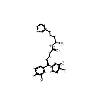 CC(CCCc1cccnc1)NC(=O)CCC=C(c1ccc(Cl)c(Cl)c1)c1ccc(Cl)c(Cl)c1